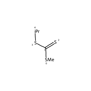 CSC(=S)SC(C)C